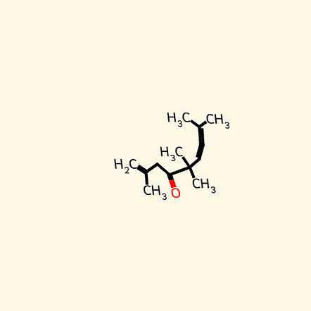 C=C(C)CC(=O)C(C)(C)C=C=C(C)C